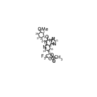 COc1ccc(Cn2c(=O)n3ncnc3c3cc(C(OS(C)(=O)=O)C(F)(F)F)cnc32)cc1